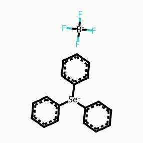 F[B-](F)(F)F.c1ccc([Se+](c2ccccc2)c2ccccc2)cc1